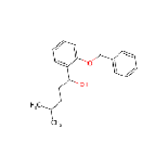 CC(C)CCC(O)c1ccccc1OCc1ccccc1